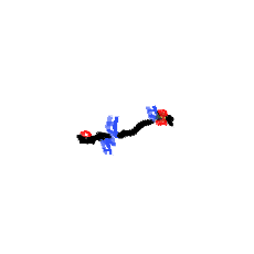 CC(C)S(=O)(=O)NCCCCCNc1cc(-c2ccco2)[nH]n1